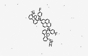 C[SiH](C)Cc1cccc2c1oc1c(N(c3ccc(F)cc3)c3ccc4ccc5cc(N(c6ccc(F)cc6)c6cccc7c6oc6c([Si](C)(C)C)cccc67)cc6ccc3c4c56)cccc12